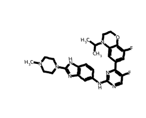 CC(C)N1CCOc2c(F)cc(-c3nc(Nc4ccc5[nH]c(N6CCN(C)CC6)nc5c4)ncc3F)cc21